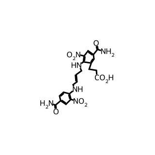 NC(=O)c1ccc(NC/C=C/CNc2c(CCC(=O)O)cc(C(N)=O)cc2[N+](=O)[O-])c([N+](=O)[O-])c1